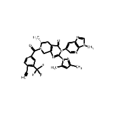 C#Cc1ccc(C(=O)N2Cc3nc(-n4nc(C)cc4C)n(-c4cnc5c(c4)ncn5C)c(=O)c3C[C@H]2C)cc1C(F)(F)F